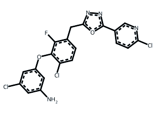 Nc1cc(Cl)cc(Oc2c(Cl)ccc(Cc3nnc(-c4ccc(Cl)nc4)o3)c2F)c1